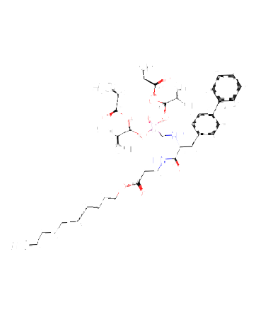 CCCCCCCCCCOC(=O)CCNC(=O)C(Cc1ccc(-c2ccccc2)cc1)NCP(=O)(OC(OC(=O)CC)C(C)C)OC(OC(=O)CC)C(C)C